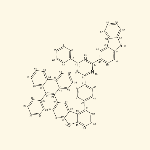 c1ccc(-c2nc(-c3ccc(-c4cccc5sc6ccc(-c7c(-c8ccccc8)c8ccccc8c8ccccc78)cc6c45)cc3)nc(-c3ccc4sc5ccccc5c4c3)n2)cc1